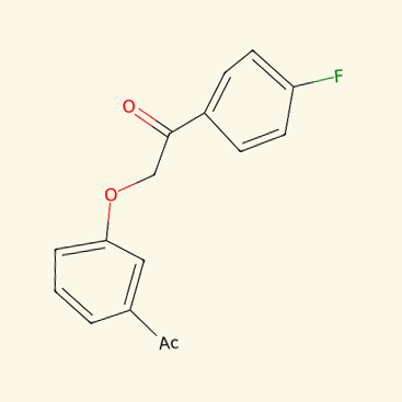 CC(=O)c1cccc(OCC(=O)c2ccc(F)cc2)c1